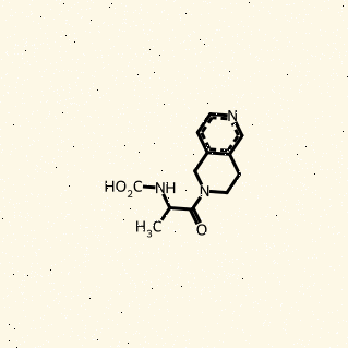 CC(NC(=O)O)C(=O)N1CCc2cnccc2C1